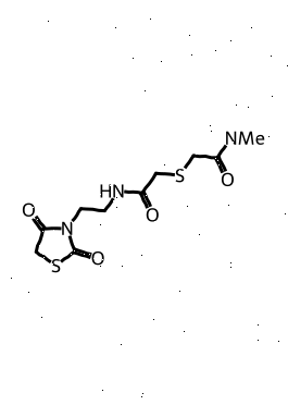 CNC(=O)CSCC(=O)NCCN1C(=O)CSC1=O